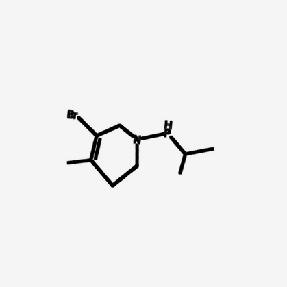 CC1=C(Br)CN(PC(C)C)CC1